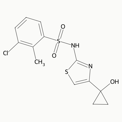 Cc1c(Cl)cccc1S(=O)(=O)Nc1nc(C2(O)CC2)cs1